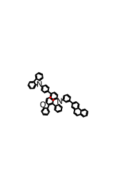 c1cc(-c2ccc3c(ccc4ccccc43)c2)cc(N(c2ccc(-c3ccc(-n4c5ccccc5c5ccccc54)cc3)cc2)c2ccccc2-c2cccc3oc4ccccc4c23)c1